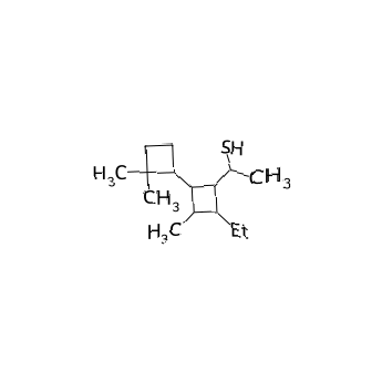 CCC1C(C)C(C2CCC2(C)C)C1C(C)S